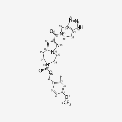 Cc1cc(OC(F)(F)F)ccc1COC(=O)N1CCc2cc(C(=O)N3CCc4[nH]nnc4C3)nn2CC1